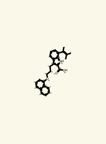 CC(C)=C(C)c1cccc2c(CCCOc3cccc4ccccc34)c(C(=O)O)[nH]c12